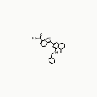 NC(=O)c1cccc2c(-c3nc4c(c(NCc5ccccc5)n3)NCCC4)ncn12